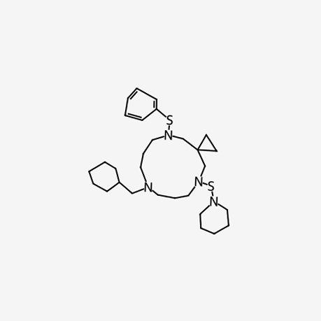 c1ccc(SN2CCCN(CC3CCCCC3)CCCN(SN3CCCCC3)CC3(CC3)C2)cc1